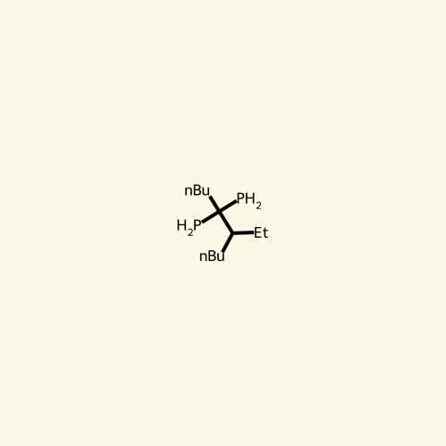 CCCCC(CC)C(P)(P)CCCC